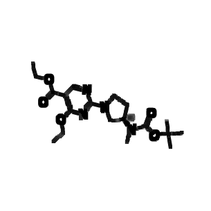 CCOC(=O)c1cnc(N2CC[C@@H](N(C)C(=O)OC(C)(C)C)C2)nc1OCC